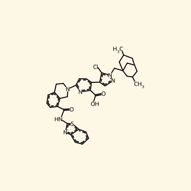 CC1CC2CC(C)CC(Cn3ncc(-c4ccc(N5CCc6cccc(C(=O)Nc7nc8ccccc8s7)c6C5)nc4C(=O)O)c3Cl)(C1)C2